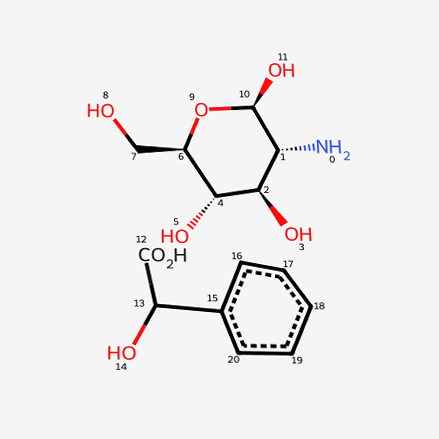 N[C@@H]1[C@@H](O)[C@H](O)[C@@H](CO)O[C@H]1O.O=C(O)C(O)c1ccccc1